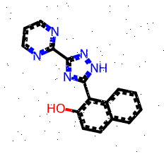 Oc1ccc2ccccc2c1-c1nc(-c2ncccn2)n[nH]1